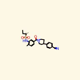 CC[C@H](C)S(=O)(=O)Nc1cc(C(=O)N2CCC(c3ccc(C#N)cc3)CC2)ccc1C